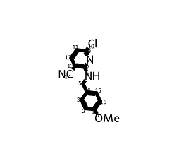 COc1ccc(CNc2nc(Cl)ccc2C#N)cc1